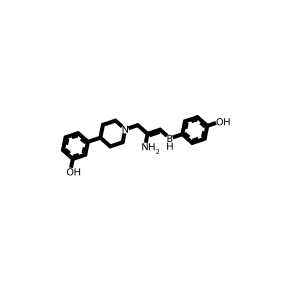 N/C(=C\Bc1ccc(O)cc1)CN1CCC(c2cccc(O)c2)CC1